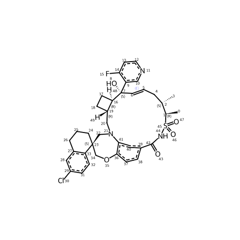 C[C@@H]1[C@@H](C)C/C=C/[C@](O)(c2cnccc2F)[C@@H]2CC[C@H]2CN2C[C@@]3(CCCc4cc(Cl)ccc43)COc3ccc(cc32)C(=O)NS1(=O)=O